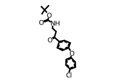 CC(C)(C)OC(=O)NCCC(=O)c1ccc(Oc2ccc(Cl)cc2)cc1